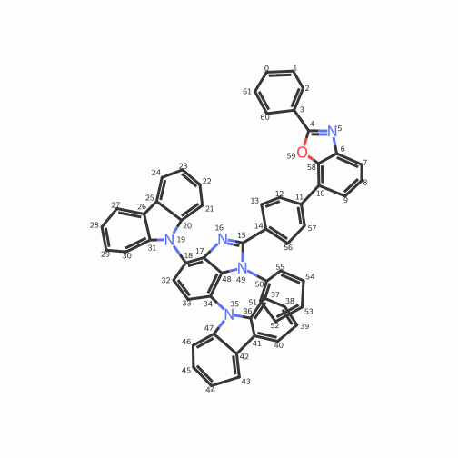 c1ccc(-c2nc3cccc(-c4ccc(-c5nc6c(-n7c8ccccc8c8ccccc87)ccc(-n7c8ccccc8c8ccccc87)c6n5-c5ccccc5)cc4)c3o2)cc1